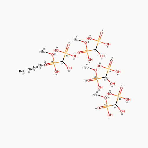 CCCCOP(=O)(O)C(O)P(=O)(O)O.CCCCOP(=O)(O)C(O)P(=O)(O)O.CCCCOP(=O)(O)C(O)P(=O)(O)O.CCCCOP(=O)(O)C(O)P(=O)(O)O.[NaH].[NaH].[NaH].[NaH]